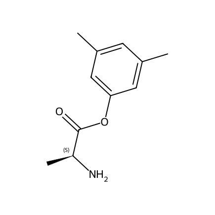 Cc1cc(C)cc(OC(=O)[C@H](C)N)c1